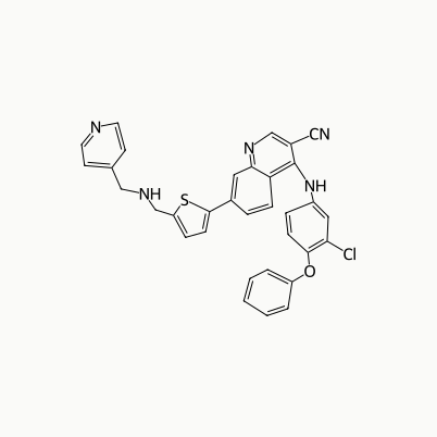 N#Cc1cnc2cc(-c3ccc(CNCc4ccncc4)s3)ccc2c1Nc1ccc(Oc2ccccc2)c(Cl)c1